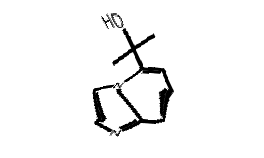 CC(C)(O)c1cccc2nccn12